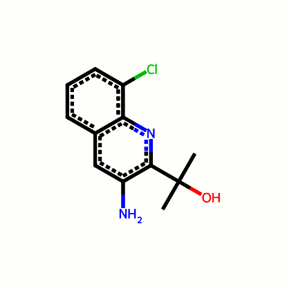 CC(C)(O)c1nc2c(Cl)cccc2cc1N